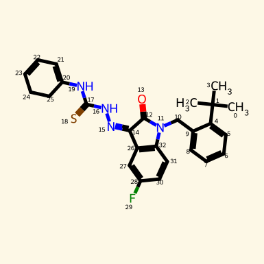 CC(C)(C)c1ccccc1CN1C(=O)/C(=N\NC(=S)NC2=CC=CCC2)c2cc(F)ccc21